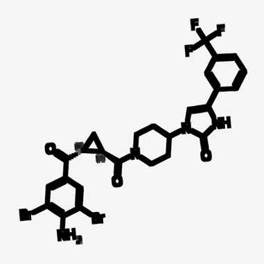 Nc1c(Br)cc(C(=O)[C@@H]2C[C@H]2C(=O)N2CCC(n3cc(-c4cccc(C(F)(F)F)c4)[nH]c3=O)CC2)cc1Br